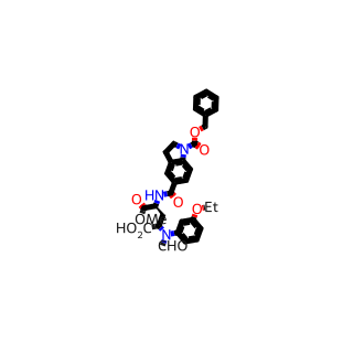 CCOc1cccc(N(C=O)C(C[C@H](NC(=O)c2ccc3c(c2)CCN3C(=O)OCc2ccccc2)C(=O)OC)C(=O)O)c1